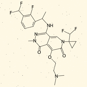 CC(Nc1nn(C)c(=O)c2c(OCCN(C)C)c(=O)n(C3(C(F)F)CC3)cc12)c1cccc(C(F)F)c1F